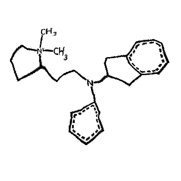 C[N+]1(C)CCCC1CCN(c1ccccc1)C1Cc2ccccc2C1